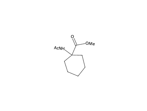 COC(=O)C1(NC(C)=O)CCCCC1